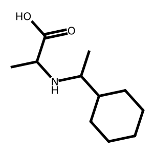 CC(NC(C)C1CCCCC1)C(=O)O